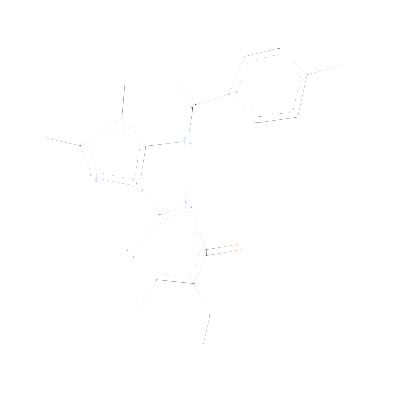 CCc1c(C)nc(-n2nc(C)c(C)c2NC(=O)c2ccc(Cl)cc2)[nH]c1=O